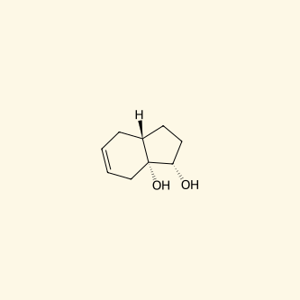 O[C@H]1CC[C@H]2CC=CC[C@@]21O